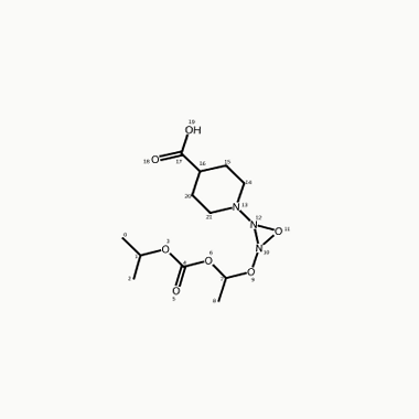 CC(C)OC(=O)OC(C)On1on1N1CCC(C(=O)O)CC1